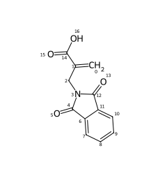 C=C(CN1C(=O)c2ccccc2C1=O)C(=O)O